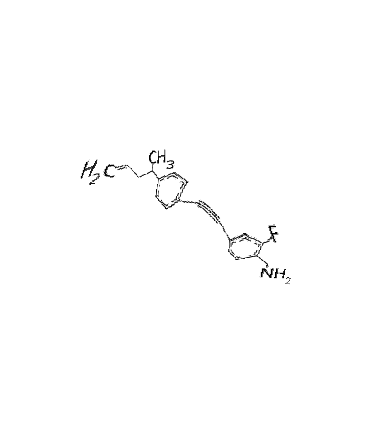 C=CCC(C)c1ccc(C#Cc2ccc(CN)c(F)c2)cc1